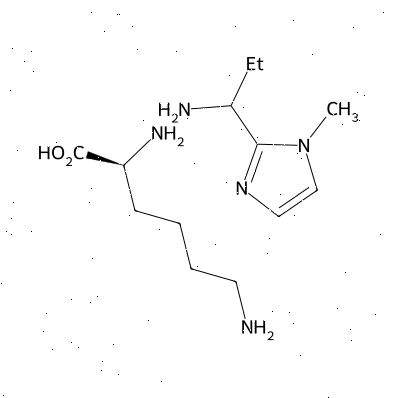 CCC(N)c1nccn1C.NCCCC[C@H](N)C(=O)O